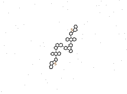 c1ccc2c(c1)ccc1c3cc(-c4c5ccccc5c(-c5ccc6ccc7ccc(-c8ccc9c%10ccccc%10c%10ccc(-c%11c%12ccccc%12c(-c%12ccc%13sc%14c%15ccccc%15ccc%14c%13c%12)c%12ccccc%11%12)cc%10c9c8)cc7c6c5)c5ccccc45)ccc3sc21